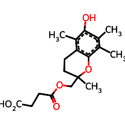 Cc1c(C)c2c(c(C)c1O)CCC(C)(COC(=O)CCC(=O)O)O2